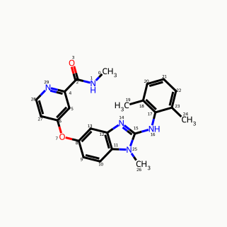 CNC(=O)c1cc(Oc2ccc3c(c2)nc(Nc2c(C)cccc2C)n3C)ccn1